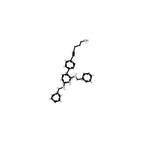 OCCCC#Cc1ccc(-c2ccc(OCc3ccccc3)nc2OCc2ccccc2)cc1